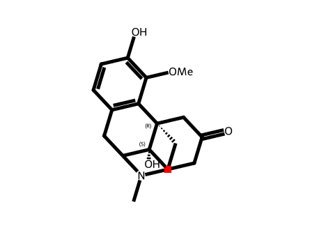 COc1c(O)ccc2c1[C@]13CCN(C)C(C2)[C@]1(O)CCC(=O)C3